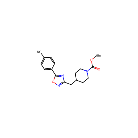 CC(C)(C)OC(=O)N1CCC(Cc2noc(-c3ccc(C#N)cc3)n2)CC1